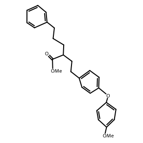 COC(=O)C(CCCc1ccccc1)CCc1ccc(Oc2ccc(OC)cc2)cc1